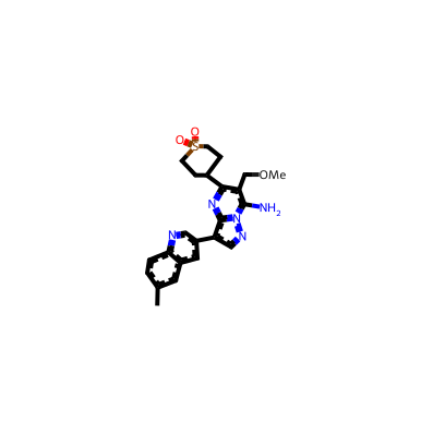 COCc1c(C2CCS(=O)(=O)CC2)nc2c(-c3cnc4ccc(C)cc4c3)cnn2c1N